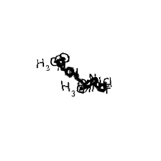 COc1cc2c(Nc3ccc(F)c(Cl)c3)ncnc2cc1OCCCN1CCC(CN2CC(=O)OC(C)C2)CC1